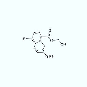 COc1ccc2c(C(C)C)ccc(C(=O)OCO)c2c1